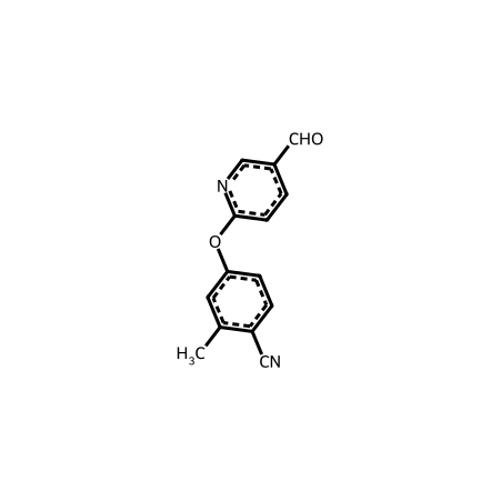 Cc1cc(Oc2ccc(C=O)cn2)ccc1C#N